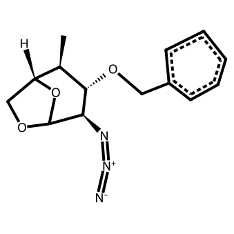 C[C@H]1[C@H](OCc2ccccc2)[C@@H](N=[N+]=[N-])C2OC[C@H]1O2